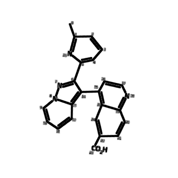 Cc1cccc(-c2nn3ccccc3c2-c2ccnc3ccc(C(=O)O)cc23)n1